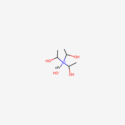 CCC[N+](C(C)O)(C(C)O)C(C)O.[OH-]